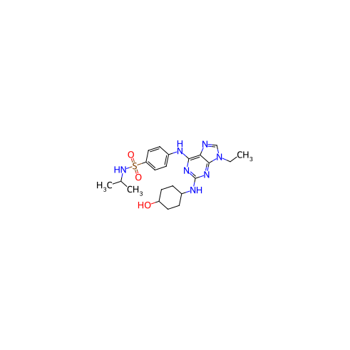 CCn1cnc2c(Nc3ccc(S(=O)(=O)NC(C)C)cc3)nc(NC3CCC(O)CC3)nc21